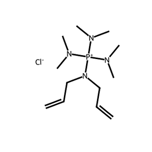 C=CCN(CC=C)[P+](N(C)C)(N(C)C)N(C)C.[Cl-]